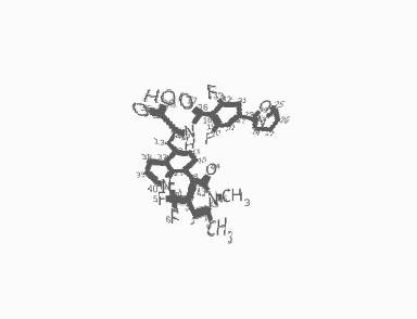 Cc1cc(C(F)(F)F)c(-c2ccc(C[C@H](NC(=O)c3c(F)cc(N4CC5CCC4CO5)cc3F)C(=O)O)c3cccnc23)c(=O)n1C